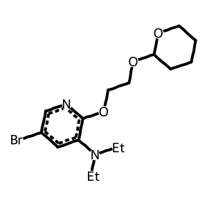 CCN(CC)c1cc(Br)cnc1OCCOC1CCCCO1